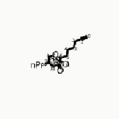 C#CCCCCC12OCC(CCC)(CS1)CS2(=O)=O